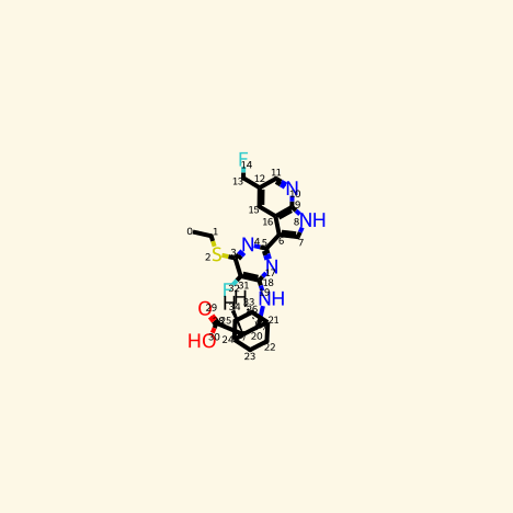 CCSc1nc(-c2c[nH]c3ncc(CF)cc23)nc(N[C@H]2C3CCC(CC3)[C@@H]2C(=O)O)c1F